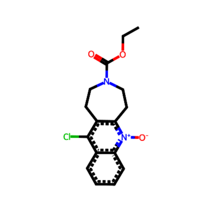 CCOC(=O)N1CCc2c(Cl)c3ccccc3[n+]([O-])c2CC1